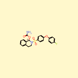 NC(=O)O[C@@H]1c2ccccc2CCN1S(=O)(=O)c1ccc(Oc2ccc(F)cc2)cc1